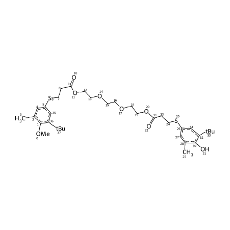 COc1c(C)cc(SCCC(=O)OCCOCCOCCOC(=O)CCSc2cc(C)c(O)c(C(C)(C)C)c2)cc1C(C)(C)C